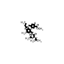 CCCc1nc2c(C)cc(CNC(=O)[C@H](CC(C)C)SC(C)=O)cc2n1Cc1ccc(C(=O)OC)c(F)c1